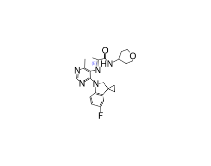 C/C(=N\c1c(C)ncnc1N1CC2(CC2)c2cc(F)ccc21)C(=O)NC1CCOCC1